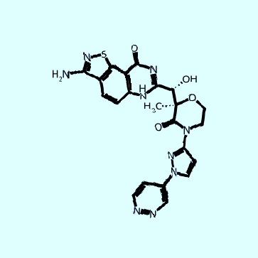 C[C@]1([C@@H](O)c2nc(=O)c3c(ccc4c(N)nsc43)[nH]2)OCCN(c2ccn(-c3ccnnc3)n2)C1=O